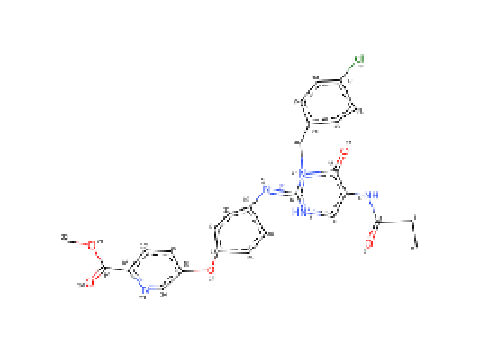 CCC(=O)Nc1c[nH]/c(=N\c2ccc(Oc3ccc(C(=O)OC)nc3)cc2)n(Cc2ccc(Cl)cc2)c1=O